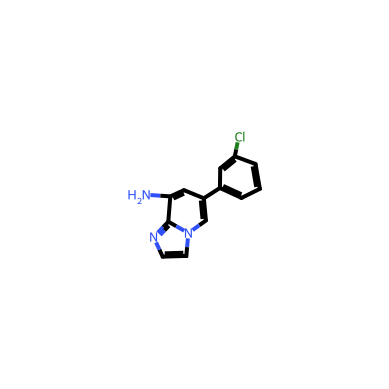 Nc1cc(-c2cccc(Cl)c2)cn2ccnc12